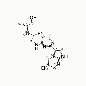 O=C(CO)N1CC[C@@H](Nc2nc(-c3c[nH]c4c3=CC(Cl)CN=4)ncc2F)C1